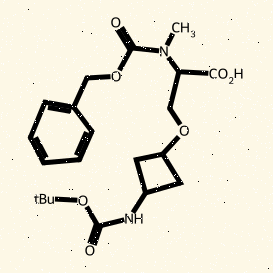 CN(C(=O)OCc1ccccc1)C(COC1CC(NC(=O)OC(C)(C)C)C1)C(=O)O